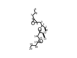 C=CC(CC1OC1CCC)OC(C=C)CC1OC1CCC